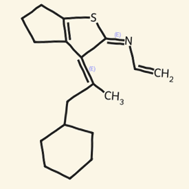 C=C/N=C1/SC2=C(CCC2)/C1=C(/C)CC1CCCCC1